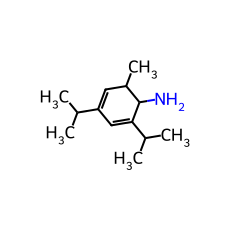 CC(C)C1=CC(C)C(N)C(C(C)C)=C1